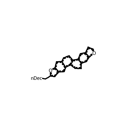 CCCCCCCCCCCc1cc2cc3c(ccc4c5cc6ccoc6cc5ccc34)cc2o1